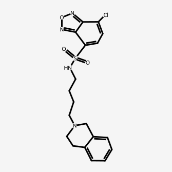 O=S(=O)(NCCCCN1CCc2ccccc2C1)c1ccc(Cl)c2nonc12